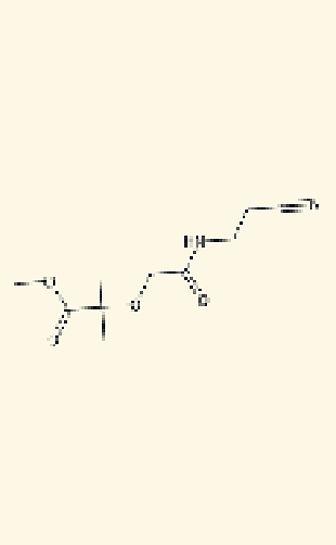 COC(=O)C(C)(C)OCC(=O)NCCC#N